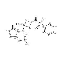 O=S(=O)(NC1CC(O)(c2cc(Cl)cc3cn[nH]c23)C1)c1ccccc1